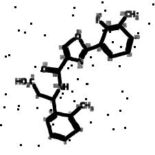 Cc1ccccc1C(CC(=O)O)NC(=O)c1coc(-c2cccc(C)c2F)n1